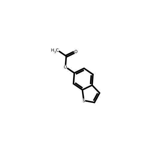 CC(=O)Oc1ccc2ccsc2c1